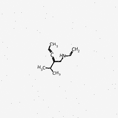 C=CNCC(=C=CC)C(C)C